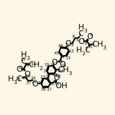 C=C(C)C(=O)OC(C)CCOc1ccc(C(=O)Oc2ccc(-c3cc(OCCC(C)OC(=O)C(=C)C)ccc3C(=O)O)cc2C)cc1